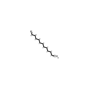 CCCCCCCCCCC[CH2][K]